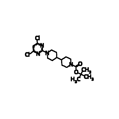 CC(C)(C)OC(=O)N1CCC(C2CCN(c3nc(Cl)cc(Cl)n3)CC2)CC1